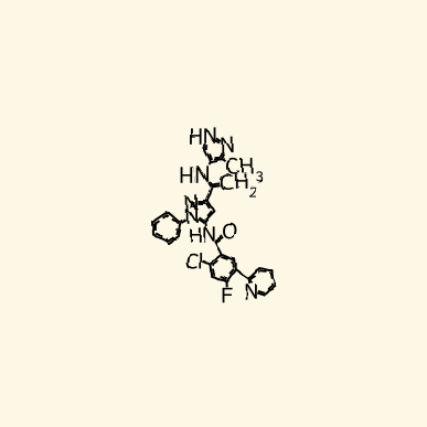 C=C(Nc1c[nH]nc1C)c1cc(NC(=O)c2cc(-c3ccccn3)c(F)cc2Cl)n(-c2ccccc2)n1